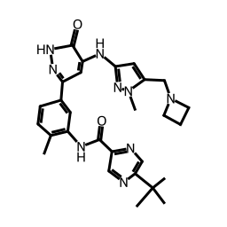 Cc1ccc(-c2cc(Nc3cc(CN4CCC4)n(C)n3)c(=O)[nH]n2)cc1NC(=O)c1cnc(C(C)(C)C)cn1